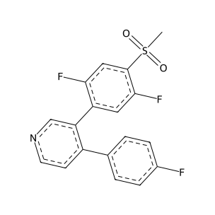 CS(=O)(=O)c1cc(F)c(-c2cnccc2-c2ccc(F)cc2)cc1F